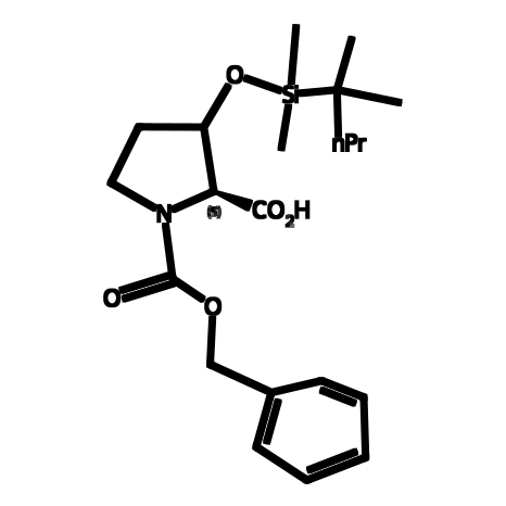 CCCC(C)(C)[Si](C)(C)OC1CCN(C(=O)OCc2ccccc2)[C@@H]1C(=O)O